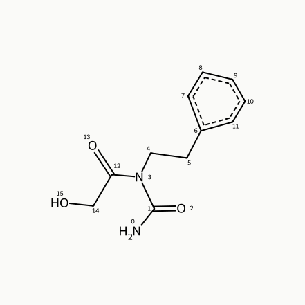 NC(=O)N(CCc1ccccc1)C(=O)CO